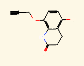 C#CCOc1ccc(O)c2c1NC(=O)CC2